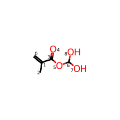 C=C(C)C(=O)OC(O)O